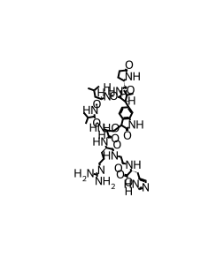 CC(C)C[C@H]1NO[C@@H](NC(=O)[C@@H]2CCC(=O)N2)[C@@H](C(C)C)c2ccc3c(c2)NC(=O)[C@]3(O)C[C@H](C(=O)N[C@H](CCCN=C(N)N)C(=O)NCC(=O)N[C@H](Cc2cnc[nH]2)C(=O)O)NOC(C(C)C)NO1